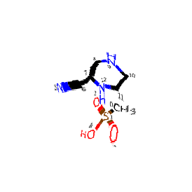 CS(=O)(=O)O.N#CC1=CNCCN1